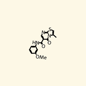 COc1cccc(NC(=O)c2cnc3scc(C)n3c2=O)c1